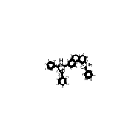 CN1c2ccc3ccc4cc(C5NC(c6ccccc6)C6C(c7ccccc7)N56)ccc4c3c2OC1c1ccccc1